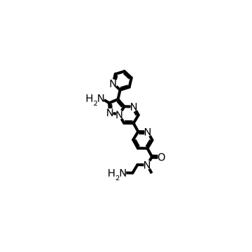 CN(CCN)C(=O)c1ccc(-c2cnc3c(-c4ccccn4)c(N)nn3c2)nc1